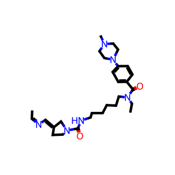 C/C=N\C=C1/CCN(C(=O)NCCCCCCN(CC)C(=O)c2ccc(N3CCN(C)CC3)cc2)C1